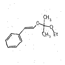 CCOC(C)(C)OC=Cc1ccccc1